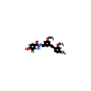 COc1cc(C#Cc2ccc(C)cc2OC)cc(/C=N/NC(=O)c2ccc(O)c(Cl)c2)c1